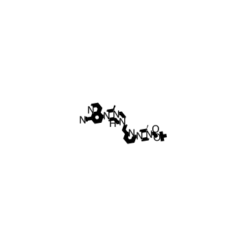 C[C@@H]1CN(c2ccc(C#N)c3ncccc23)C[C@@H]2CN(CCc3cccc(N4CCN(C(=O)OC(C)(C)C)[C@@H](C)C4)n3)CCN21